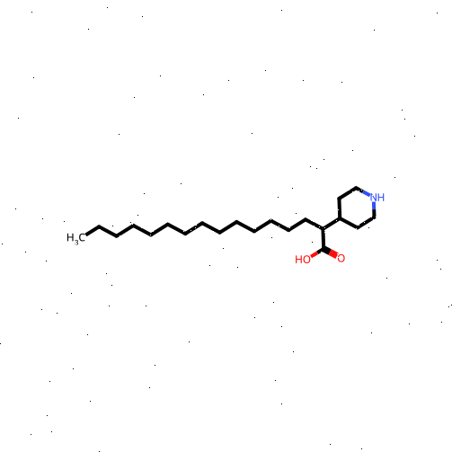 CCCCCCCCCCCCCCC(C(=O)O)C1CCNCC1